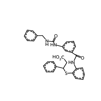 O=C(O)CC(Sc1ccccc1NC(=O)c1cccc(NC(=O)NCc2ccccc2)c1)c1ccccc1